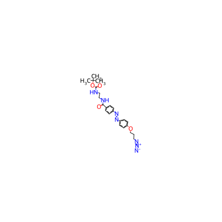 CC(C)(C)OC(=O)NCCNC(=O)c1ccc(N=Nc2ccc(OCCCN=[N+]=[N-])cc2)cc1